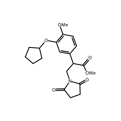 COC(=O)C(CN1C(=O)CCC1=O)c1ccc(OC)c(OC2CCCC2)c1